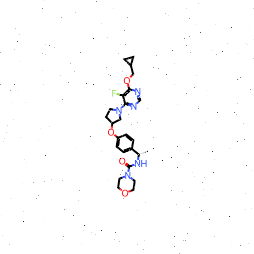 C[C@H](NC(=O)N1CCOCC1)c1ccc(OC2CCN(c3ncnc(OCC4CC4)c3F)C2)cc1